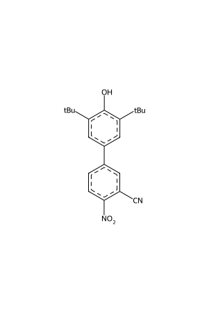 CC(C)(C)c1cc(-c2ccc([N+](=O)[O-])c(C#N)c2)cc(C(C)(C)C)c1O